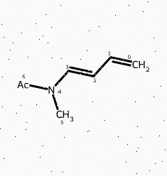 C=CC=CN(C)C(C)=O